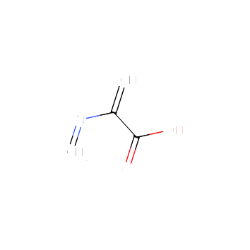 C=NC(=C)C(=O)O